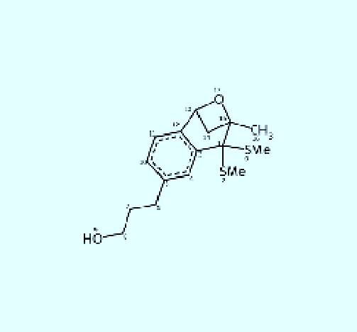 CSC1(SC)c2cc(CCCO)ccc2C2CC1(C)O2